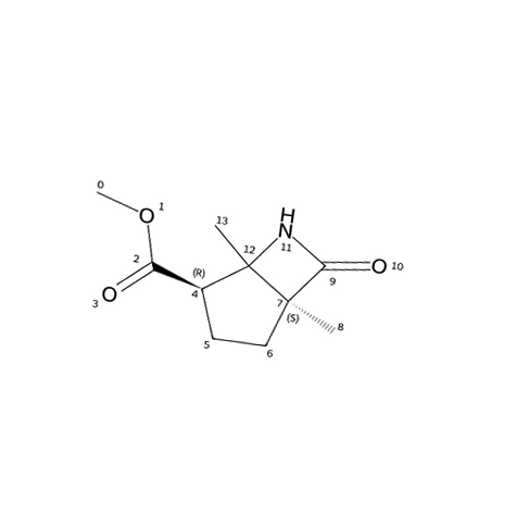 COC(=O)[C@@H]1CC[C@]2(C)C(=O)NC12C